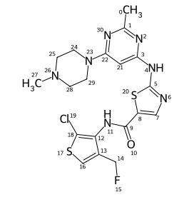 Cc1nc(Nc2ncc(C(=O)Nc3c(CF)csc3Cl)s2)cc(N2CCN(C)CC2)n1